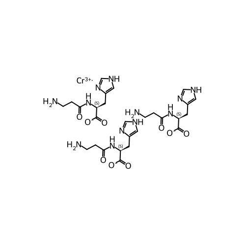 NCCC(=O)N[C@@H](Cc1c[nH]cn1)C(=O)[O-].NCCC(=O)N[C@@H](Cc1c[nH]cn1)C(=O)[O-].NCCC(=O)N[C@@H](Cc1c[nH]cn1)C(=O)[O-].[Cr+3]